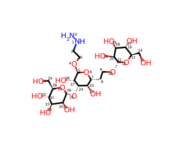 NNCCO[C@H]1O[C@H](CCO[C@H]2O[C@H](CO)[C@@H](O)[C@H](O)[C@@H]2O)[C@@H](O)[C@H](O[C@H]2O[C@H](CO)[C@@H](O)[C@H](O)[C@@H]2O)[C@@H]1O